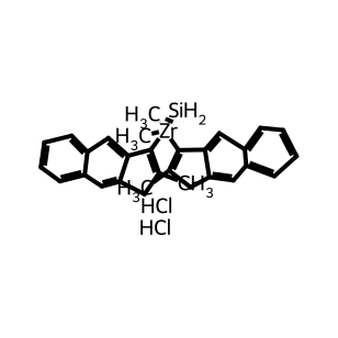 CC1=[C]([Zr]([CH3])([CH3])(=[SiH2])[C]2=C(C)Cc3cc4ccccc4cc32)c2cc3ccccc3cc2C1.Cl.Cl